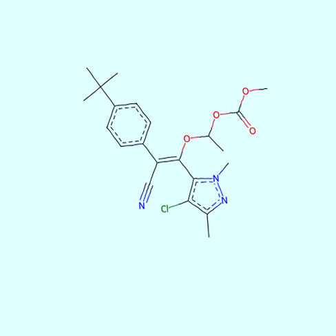 COC(=O)OC(C)O/C(=C(/C#N)c1ccc(C(C)(C)C)cc1)c1c(Cl)c(C)nn1C